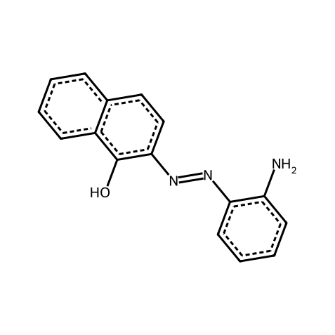 Nc1ccccc1/N=N/c1ccc2ccccc2c1O